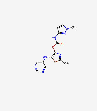 Cc1nc(OC(=O)Nc2ccn(C)n2)c(Nc2cncnc2)s1